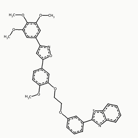 COc1ccc(-c2cc(-c3cc(OC)c(OC)c(OC)c3)no2)cc1OCCOc1cccc(-c2nc3ccccc3s2)c1